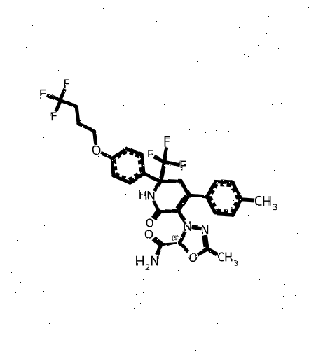 CC1=NN(C2=C(c3ccc(C)cc3)CC(c3ccc(OCCCC(F)(F)F)cc3)(C(F)(F)F)NC2=O)[C@H](C(N)=O)O1